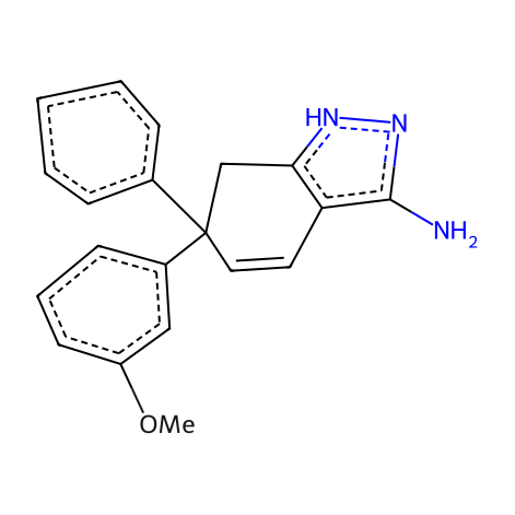 COc1cccc(C2(c3ccccc3)C=Cc3c(N)n[nH]c3C2)c1